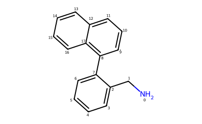 NCc1ccccc1-c1[c]ccc2ccccc12